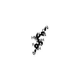 CN(C)CCNc1cc(F)cc(-c2nccc3[nH]c(-c4n[nH]c5cnc(-c6cncc(OCCN(C)C)c6)cc45)nc23)c1